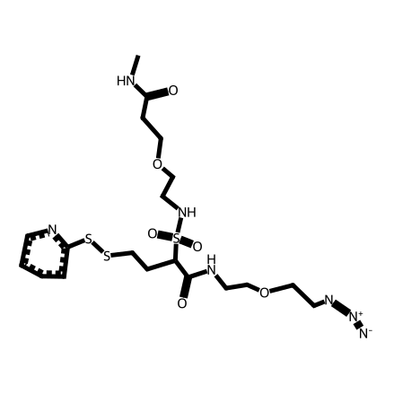 CNC(=O)CCOCCNS(=O)(=O)C(CCSSc1ccccn1)C(=O)NCCOCCN=[N+]=[N-]